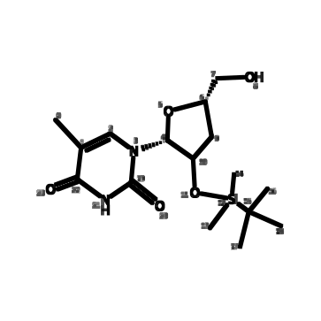 Cc1cn([C@@H]2O[C@H](CO)CC2O[Si](C)(C)C(C)(C)C)c(=O)[nH]c1=O